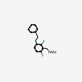 CNCc1c(F)ccc(CCc2ccccc2)c1F